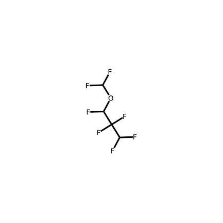 FC(F)OC(F)C(F)(F)C(F)F